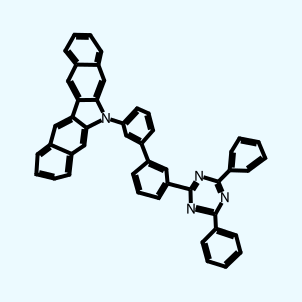 c1ccc(-c2nc(-c3ccccc3)nc(-c3cccc(-c4cccc(-n5c6cc7ccccc7cc6c6cc7ccccc7cc65)c4)c3)n2)cc1